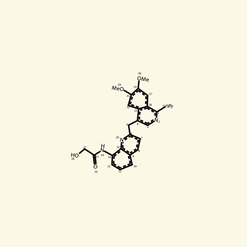 CCCc1ncc(Cc2ccc3cccc(NC(=O)CO)c3n2)c2cc(OC)c(OC)cc12